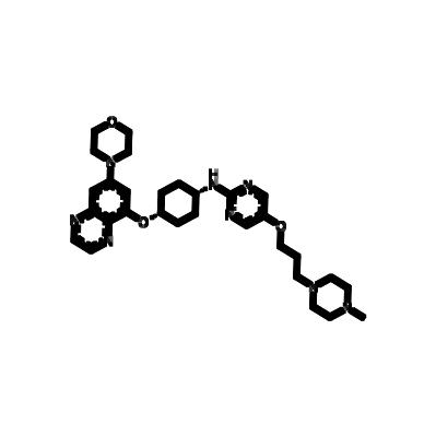 CN1CCN(CCCOc2cnc(N[C@H]3CC[C@@H](Oc4cc(N5CCOCC5)cc5nccnc45)CC3)nc2)CC1